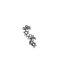 CCCN(C/C(C)=C/c1ccc(C(=O)NO)cc1)c1cnc2ccccc2c1